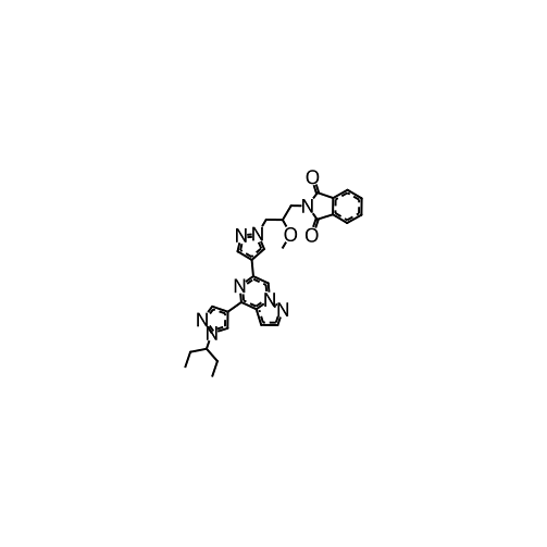 CCC(CC)n1cc(-c2nc(-c3cnn(CC(CN4C(=O)c5ccccc5C4=O)OC)c3)cn3nccc23)cn1